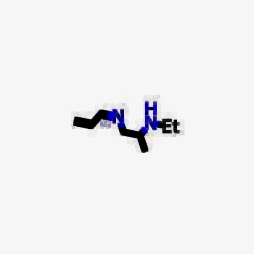 C=C/C=N\CC(C)NCC